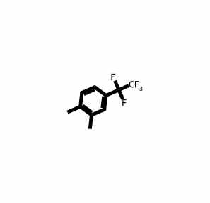 Cc1ccc(C(F)(F)C(F)(F)F)cc1C